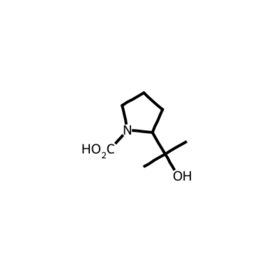 CC(C)(O)C1CCCN1C(=O)O